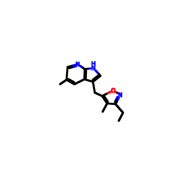 CCc1noc(Cc2c[nH]c3ncc(C)cc23)c1C